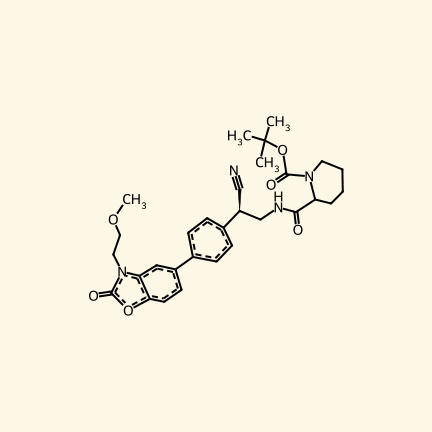 COCCn1c(=O)oc2ccc(-c3ccc([C@@H](C#N)CNC(=O)C4CCCCN4C(=O)OC(C)(C)C)cc3)cc21